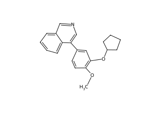 COc1ccc(-c2cncc3ccccc23)cc1OC1CCCC1